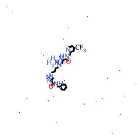 N/C(=C\N(N)CCCCn1cc(C(=O)NCc2ccccc2)nn1)C(=O)NCc1cc(C(F)(F)F)ccn1